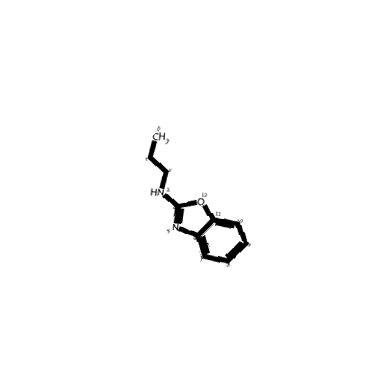 CCCNc1nc2ccccc2o1